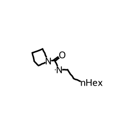 CCCCCCCC[N]C(=O)N1CCCC1